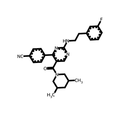 CC1CC(C)CN(C(=O)c2cnc(NCCc3cccc(F)c3)nc2-c2ccc(C#N)cc2)C1